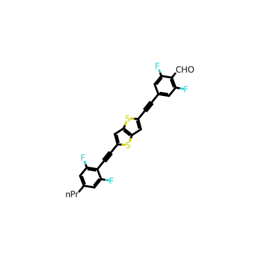 CCCc1cc(F)c(C#Cc2cc3sc(C#Cc4cc(F)c(C=O)c(F)c4)cc3s2)c(F)c1